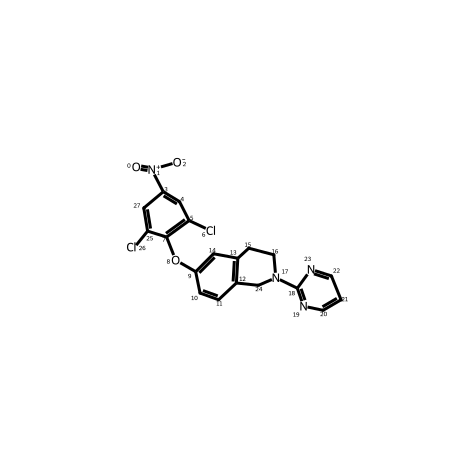 O=[N+]([O-])c1cc(Cl)c(Oc2ccc3c(c2)CCN(c2ncccn2)C3)c(Cl)c1